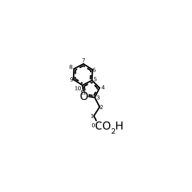 O=C(O)CCc1cc2ccccc2o1